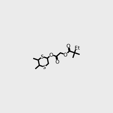 CCC(C)(C)C(=O)OCC(=O)OC1CSC(C)C(C)S1